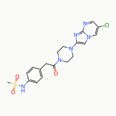 CS(=O)(=O)Nc1ccc(CC(=O)N2CCN(c3cn4cc(Cl)cnc4n3)CC2)cc1